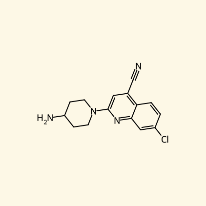 N#Cc1cc(N2CCC(N)CC2)nc2cc(Cl)ccc12